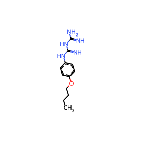 CCCCOc1ccc(NC(=N)NC(=N)N)cc1